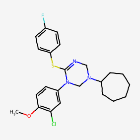 COc1ccc(N2CN(C3CCCCCC3)CN=C2Sc2ccc(F)cc2)cc1Cl